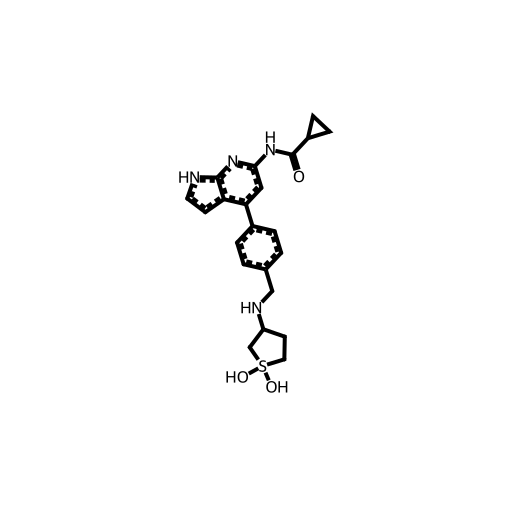 O=C(Nc1cc(-c2ccc(CNC3CCS(O)(O)C3)cc2)c2cc[nH]c2n1)C1CC1